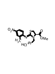 COC(=O)[C@@H]1CSC(=Nc2ccc([N+](=O)[O-])cc2C)N1CC(C)C.Cl